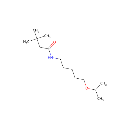 CC(C)OCCCCCNC(=O)CC(C)(C)C